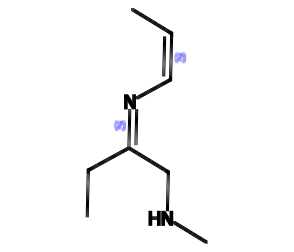 C/C=C\N=C(\CC)CNC